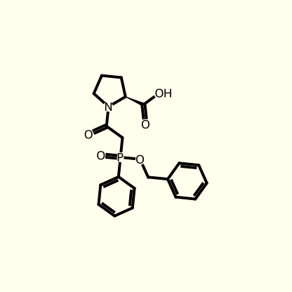 O=C(O)[C@@H]1CCCN1C(=O)CP(=O)(OCc1ccccc1)c1ccccc1